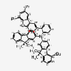 CC(C)c1cc(C(C)C)c2oc3ccc(-c4ccccc4N(c4ccc5c(c4)C(C)(C)c4ccccc4-5)c4ccc5c(c4)C(C)(C)c4cccc(C(C)(C)C)c4-5)cc3c2c1